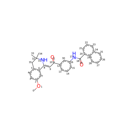 COc1ccc2c(c1)C(=CC(=O)c1cccc(NC(=O)c3cccc4ccccc34)c1)NC(C)(C)C2